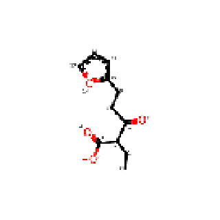 CCC(C(=O)O)C(=O)CCc1ccco1